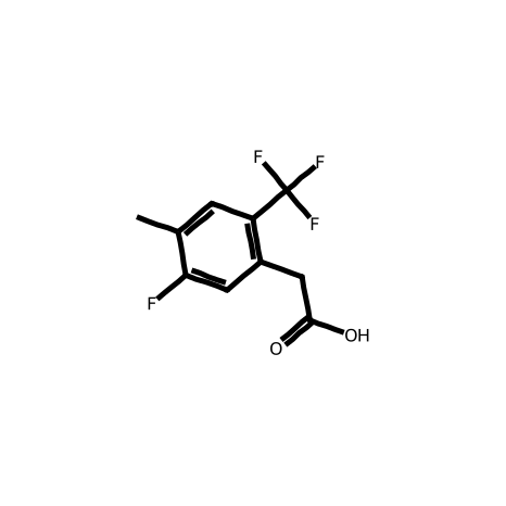 Cc1cc(C(F)(F)F)c(CC(=O)O)cc1F